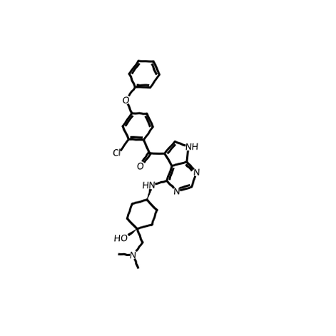 CN(C)C[C@]1(O)CC[C@@H](Nc2ncnc3[nH]cc(C(=O)c4ccc(Oc5ccccc5)cc4Cl)c23)CC1